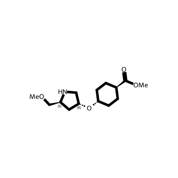 COC[C@@H]1C[C@@H](O[C@H]2CC[C@H](C(=O)OC)CC2)CN1